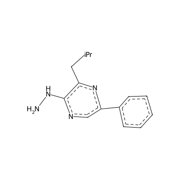 CC(C)Cc1nc(-c2ccccc2)cnc1NN